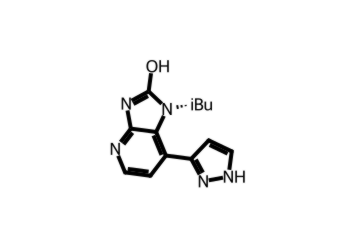 CC[C@@H](C)n1c(O)nc2nccc(-c3cc[nH]n3)c21